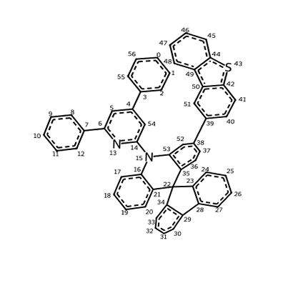 c1ccc(-c2cc(-c3ccccc3)nc(N3c4ccccc4C4(c5ccccc5-c5ccccc54)c4ccc(-c5ccc6sc7ccccc7c6c5)cc43)c2)cc1